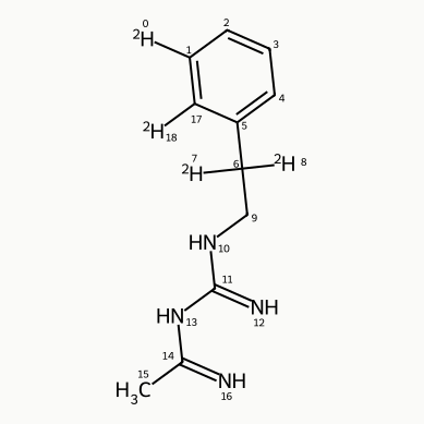 [2H]c1cccc(C([2H])([2H])CNC(=N)NC(C)=N)c1[2H]